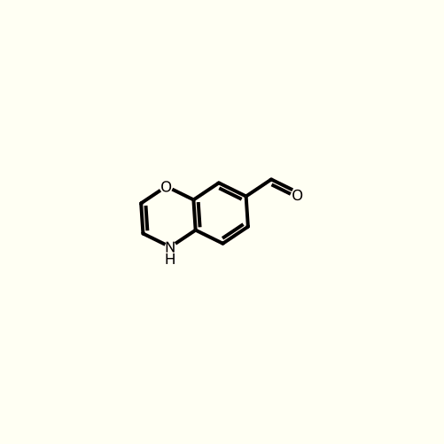 O=Cc1ccc2c(c1)OC=CN2